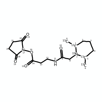 [13CH3][13CH]1CCC[13CH]([13CH3])[15N]1CC(=O)NCCC(=O)ON1C(=O)CCC1=O